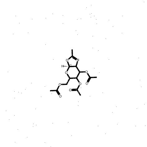 CC(=O)OCC1O[C@H]2OC(C)=NC2C(OC(C)=O)C1OC(C)=O